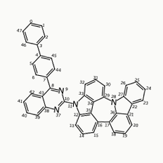 c1ccc(-c2ccc(-c3nc(-n4c5cccc6c7cccc8c9ccccc9n(c9cccc4c9c65)c78)nc4ccccc34)cc2)cc1